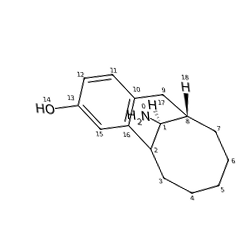 N[C@@H]1C2CCCCC[C@H]1Cc1ccc(O)cc12